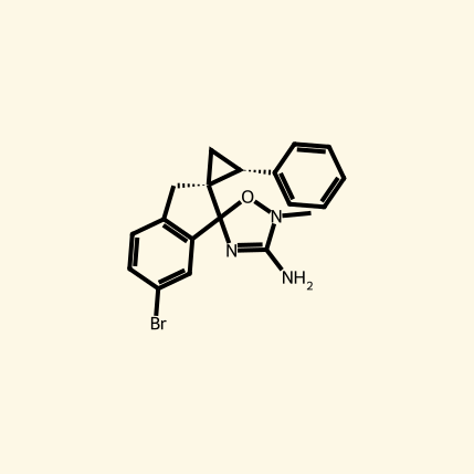 CN1OC2(N=C1N)c1cc(Br)ccc1C[C@@]21C[C@@H]1c1ccccc1